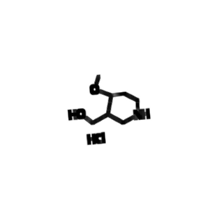 COC1CCNCC1CO.Cl